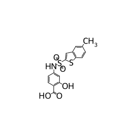 Cc1ccc2sc(S(=O)(=O)Nc3ccc(C(=O)O)c(O)c3)cc2c1